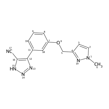 Cn1ccc(COc2cccc(-c3nn[nH]c3C#N)c2)n1